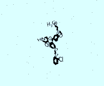 COCCCN1CCOc2ccc(CO[C@H]3CNC[C@@H](O)[C@@H]3c3ccc(OCCCOc4ccccc4Cl)cc3)cc21